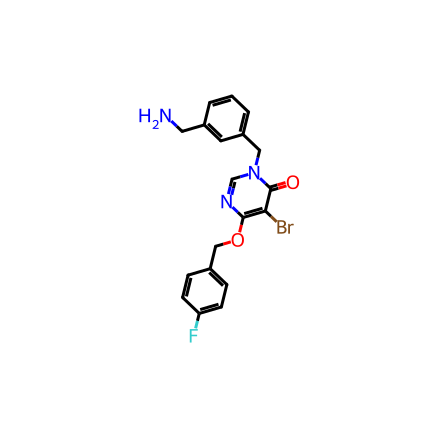 NCc1cccc(Cn2cnc(OCc3ccc(F)cc3)c(Br)c2=O)c1